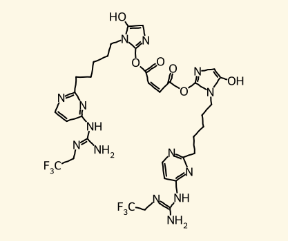 NC(=NCC(F)(F)F)Nc1ccnc(CCCCCn2c(O)cnc2OC(=O)/C=C\C(=O)Oc2ncc(O)n2CCCCCc2nccc(NC(N)=NCC(F)(F)F)n2)n1